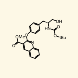 COC(=O)c1cc2ccccc2nc1Oc1ccc(C[C@@H](CO)NC(=O)OC(C)(C)C)cc1